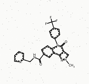 Cn1cc2c(=O)n(-c3ccc(C(F)(F)F)cc3)c3ccc(C(=O)NCc4ccccn4)cc3c2n1